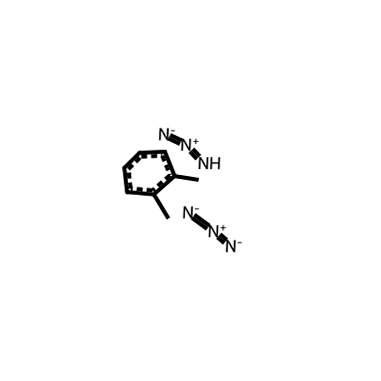 Cc1ccccc1C.[N-]=[N+]=N.[N-]=[N+]=[N-]